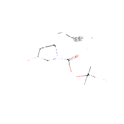 C#CC[C@H]1CC(O)CN1C(=O)OC(C)(C)C